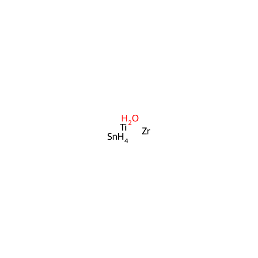 O.[SnH4].[Ti].[Zr]